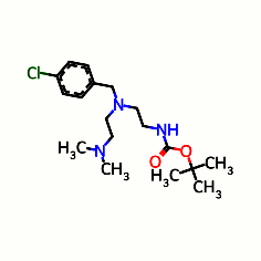 CN(C)CCN(CCNC(=O)OC(C)(C)C)Cc1ccc(Cl)cc1